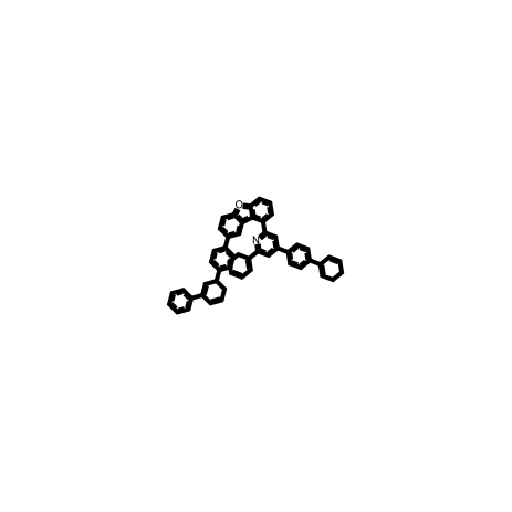 C1=CCCC(c2cc(-c3ccc(C4=CCCC=C4)cc3)cc(-c3cccc4oc5ccc(-c6ccc(C7C=C(c8ccccc8)C=CC7)cc6)cc5c34)n2)=C1